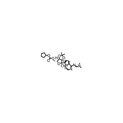 CN(C)C=Nc1ncnn2c([C@]3(C#N)O[C@H](COC(=O)OC4CCCC4)[C@H]4OC(C)(C)O[C@H]43)ccc12